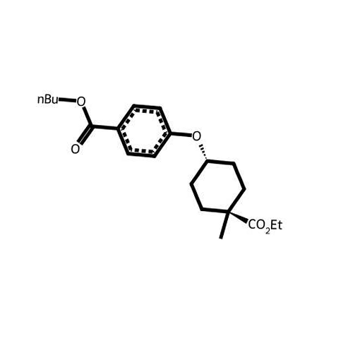 CCCCOC(=O)c1ccc(O[C@H]2CC[C@](C)(C(=O)OCC)CC2)cc1